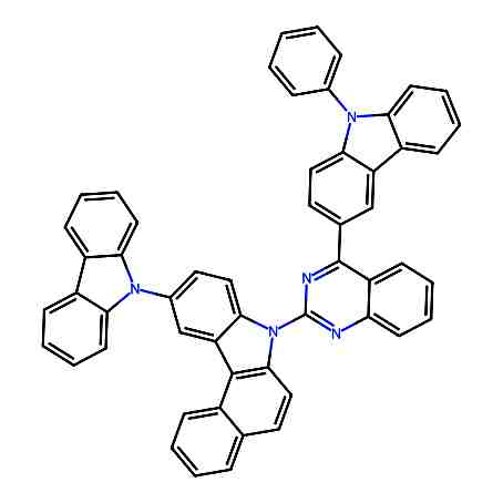 c1ccc(-n2c3ccccc3c3cc(-c4nc(-n5c6ccc(-n7c8ccccc8c8ccccc87)cc6c6c7ccccc7ccc65)nc5ccccc45)ccc32)cc1